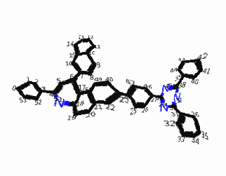 c1ccc(-c2cc(-c3ccc4ccccc4c3)c3c(ccc4cc(-c5ccc(-c6nc(-c7ccccc7)nc(-c7ccccc7)n6)cc5)ccc43)n2)cc1